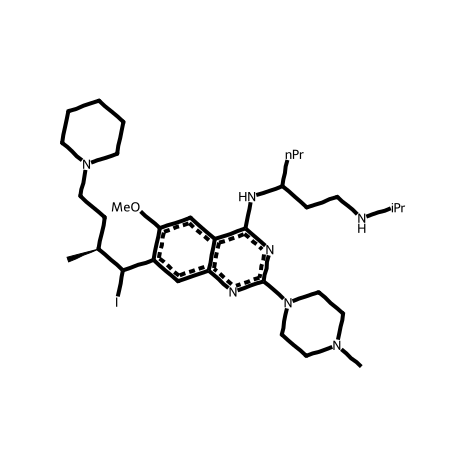 CCCC(CCNC(C)C)Nc1nc(N2CCN(C)CC2)nc2cc(C(I)[C@@H](C)CCN3CCCCC3)c(OC)cc12